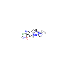 C=N/C(=C\C(=C/C)c1cnc(Cl)c(C(=O)N2CCC2)c1C)Nc1ccnc(C)n1